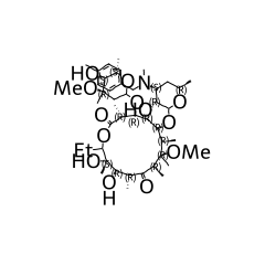 CCC1OC(=O)[C@H](C)[C@H](OC2C[C@@](C)(OC)[C@@H](O)[C@H](C)O2)[C@H](C)[C@@H](OC2O[C@H](C)C[C@H](N(C)Cc3ccc(C)cc3)[C@H]2O)[C@@H](C)[C@@](C)(OC)[C@@H](C)C(=O)[C@H](C)[C@@H](O)[C@]1(C)O